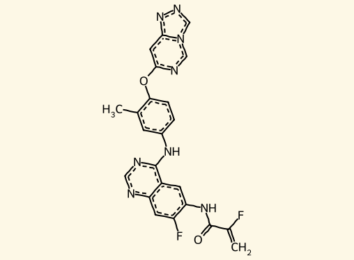 C=C(F)C(=O)Nc1cc2c(Nc3ccc(Oc4cc5nncn5cn4)c(C)c3)ncnc2cc1F